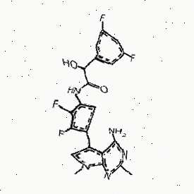 Cc1nc(N)c2c(-c3ccc(NC(=O)C(O)c4cc(F)cc(F)c4)c(F)c3F)cn(C)c2n1